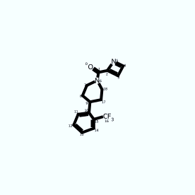 O=C(C1=CC=N1)N1CCC(c2ccccc2C(F)(F)F)CC1